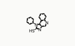 Sc1nc2cnc3ccccc3c2n1-c1ccccc1